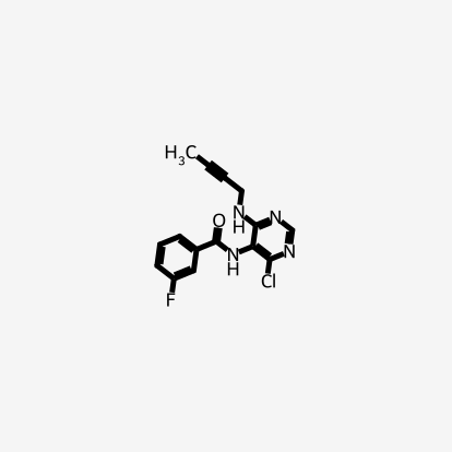 CC#CCNc1ncnc(Cl)c1NC(=O)c1cccc(F)c1